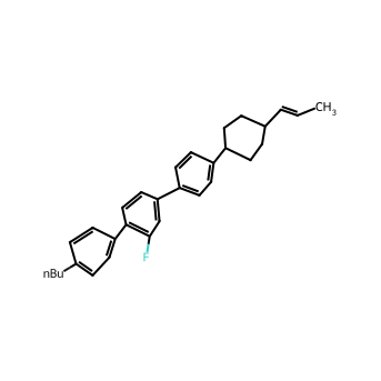 C/C=C/C1CCC(c2ccc(-c3ccc(-c4ccc(CCCC)cc4)c(F)c3)cc2)CC1